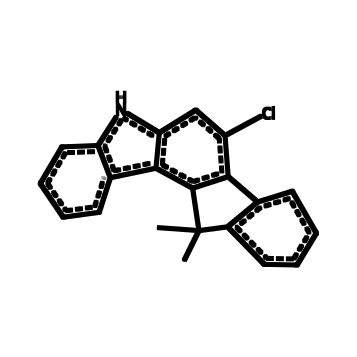 CC1(C)c2ccccc2-c2c(Cl)cc3[nH]c4ccccc4c3c21